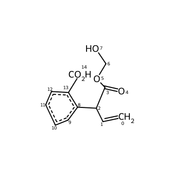 C=CC(C(=O)OCO)c1ccccc1C(=O)O